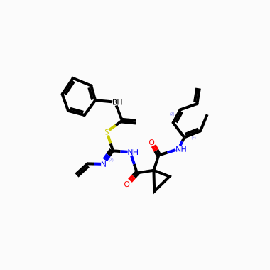 C=C/C=C\C(=C/C)NC(=O)C1(C(=O)N/C(=N/C=C)SC(=C)Bc2ccccc2)CC1